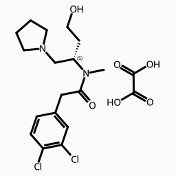 CN(C(=O)Cc1ccc(Cl)c(Cl)c1)[C@@H](CCO)CN1CCCC1.O=C(O)C(=O)O